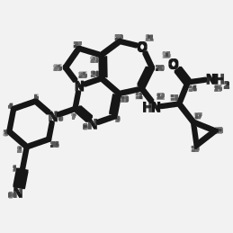 N#CC1CCCN(C2=NC=C3C(NC(C(N)=O)C4CC4)=COCC4=C3N2CC4)C1